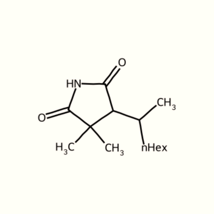 CCCCCCC(C)C1C(=O)NC(=O)C1(C)C